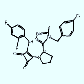 Cc1nnc([C@H]2CCCN2c2c(Nc3ccc(F)cc3F)c(=O)c2=O)n1Cc1ccc(Cl)cc1